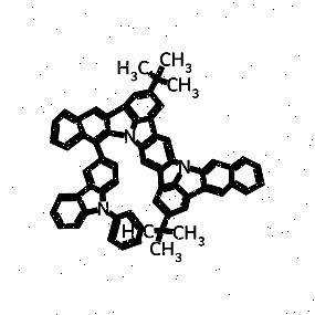 CC(C)(C)c1cc2c3cc4ccccc4cc3n3c4cc5c6cc(C(C)(C)C)cc7c8cc9ccccc9c(-c9ccc%10c(c9)c9ccccc9n%10-c9ccccc9)c8n(c5cc4c(c1)c23)c67